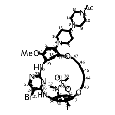 COc1cc(N2CCC(N3CCN(C(C)=O)CC3)CC2)c2cc1Nc1ncc(Br)c(n1)Nc1cc(F)c(cc1N(C)S(C)(=O)=O)OCCCCCO2